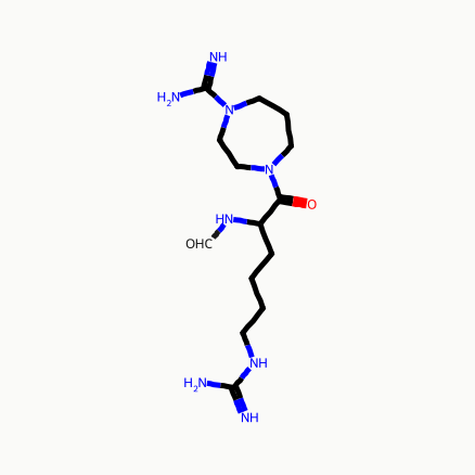 N=C(N)NCCCCC(NC=O)C(=O)N1CCCN(C(=N)N)CC1